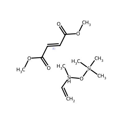 C=C[SiH](C)O[Si](C)(C)C.COC(=O)/C=C/C(=O)OC